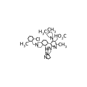 Cc1cccc(Cl)c1CN1CCc2cc(-c3c(NCc4ccn[nH]4)nc(C)c(CC(=O)O)c3N3CCC(C)(C)CC3)ccc2C1